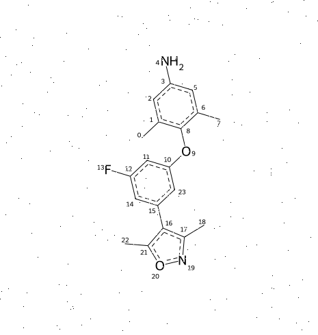 Cc1cc(N)cc(C)c1Oc1cc(F)cc(-c2c(C)noc2C)c1